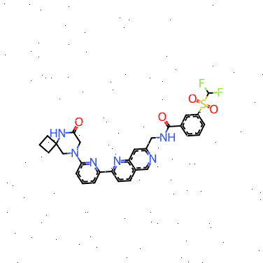 O=C1CN(c2cccc(-c3ccc4cnc(CNC(=O)c5cccc(S(=O)(=O)C(F)F)c5)cc4n3)n2)CC2(CCC2)N1